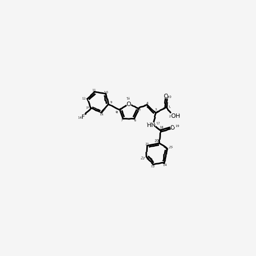 O=C(O)/C(=C/c1ccc(-c2cccc(F)c2)o1)NC(=O)c1ccccc1